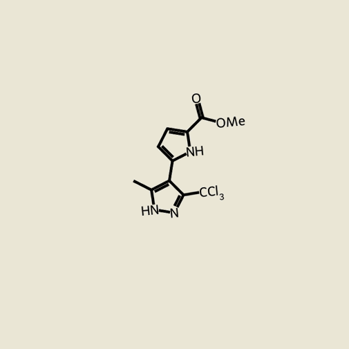 COC(=O)c1ccc(-c2c(C(Cl)(Cl)Cl)n[nH]c2C)[nH]1